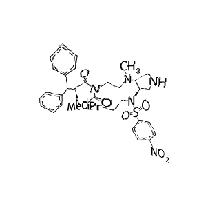 COC(=O)N(CCN(C)[C@@H]1CNC[C@H]1N(CCC(C)C)S(=O)(=O)c1ccc([N+](=O)[O-])cc1)C(=O)[C@@H](N)C(c1ccccc1)c1ccccc1